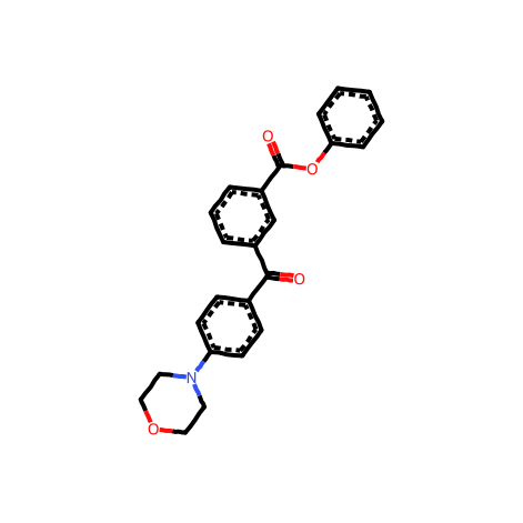 O=C(Oc1ccccc1)c1cccc(C(=O)c2ccc(N3CCOCC3)cc2)c1